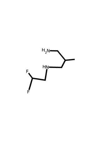 CC(CN)CNCC(F)F